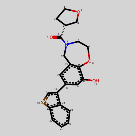 O=C([C@@H]1CCOC1)N1CCOc2c(O)cc(-c3csc4ccccc34)cc2C1